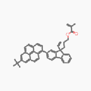 C=CC1(CCCOC(=O)C(=C)C)c2ccccc2-c2ccc(-c3ccc4ccc5cc(C(C)(C)C)cc6ccc3c4c56)cc21